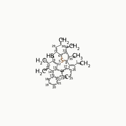 C=C/C=C\c1sc(/C(B/C(C=C)=C/c2c(C=C)c3ccccc3c3ccccc23)=C\C=C)c(C=C)c1C